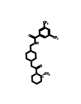 C[C@@H]1CCCCN1C(=O)CN1CCC(CNC(=O)c2cc(C(F)(F)F)cc(C(F)(F)F)c2)CC1